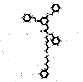 O=C(Cc1cc(OCc2ccccc2)cc(OCc2ccccc2)c1)N(CCCCCOCCCCc1ccccc1)Cc1ccccc1